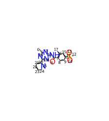 Cc1nc(NC(=O)c2ccc(S(C)(=O)=O)cc2C)nc(-c2ccccn2)n1